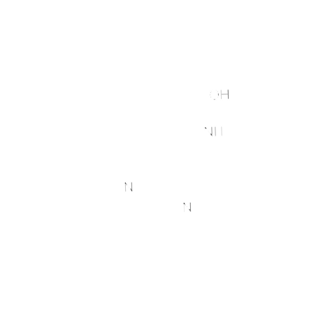 Cn1ccnc1CNO